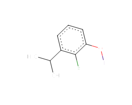 CC(C)c1cccc(OI)c1F